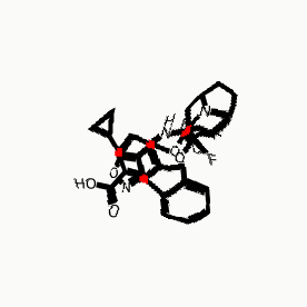 Cc1cc(C(=O)O)ccc1NC(=O)N1C2CCC1CC(OCc1c(-c3ccccc3OC(F)(F)F)noc1C1CC1)C2